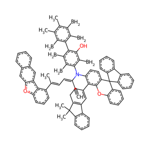 Bc1c(B)c(-c2c(B)c(B)c(N(/C(C#C)=C/C=C(\C)c3cccc4oc5cc6ccccc6cc5c34)c3ccc4c(c3C3=CC5=C(CC3)C(C)(C)c3ccccc35)Oc3ccccc3C43c4ccccc4-c4ccccc43)c(B)c2O)c(B)c(C)c1C